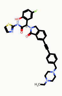 CCN1CCN(Cc2ccc(C#Cc3ccc4c(c3)C(=O)N([C@@H](C(=O)Nc3nccs3)c3cc(F)ccc3O)C4)cc2)CC1